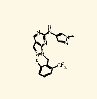 Cn1cc(Nc2ncc3cnn(Cc4c(F)cccc4C(F)(F)F)c3n2)cn1